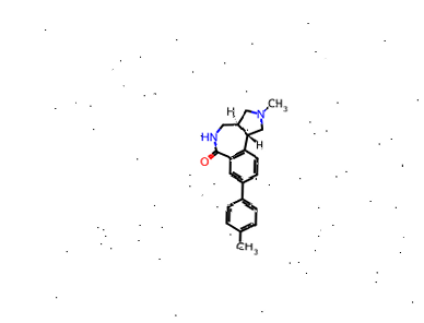 Cc1ccc(-c2ccc3c(c2)C(=O)NC[C@H]2CN(C)C[C@H]32)cc1